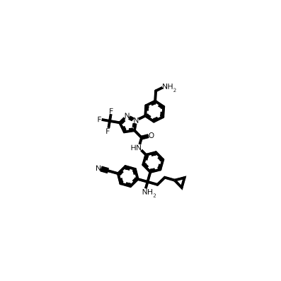 N#Cc1ccc(C(N)(CCC2CC2)c2cccc(NC(=O)c3cc(C(F)(F)F)nn3-c3cccc(CN)c3)c2)cc1